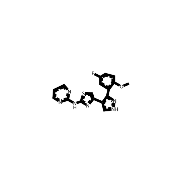 COc1ccc(F)cc1-c1n[nH]cc1-c1csc(Nc2ncccn2)n1